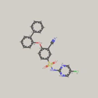 N#Cc1cc(S(=O)(=O)Nc2ncc(Cl)cn2)ccc1Oc1ccccc1-c1ccccc1